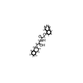 O=C(COc1cccc2cnncc12)NCC(O)CN1CCc2ccccc2C1